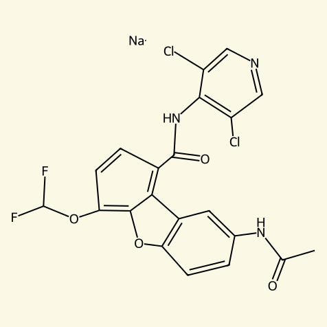 CC(=O)Nc1ccc2oc3c(OC(F)F)ccc(C(=O)Nc4c(Cl)cncc4Cl)c3c2c1.[Na]